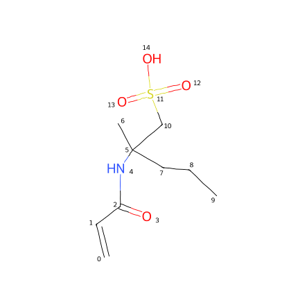 C=CC(=O)NC(C)(CCC)CS(=O)(=O)O